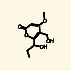 CCC(O)c1oc(=O)cc(OC)c1CO